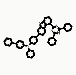 c1ccc(-c2ccc(N(c3ccccc3)c3ccc(-c4ccc5c(c4)sc4cccc(-c6nc(-c7ccccc7)nc(-c7ccccc7)n6)c45)cc3)cc2)cc1